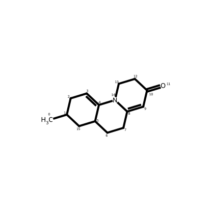 CC1CC=C2C(CCC3=CC(=O)CCN32)C1